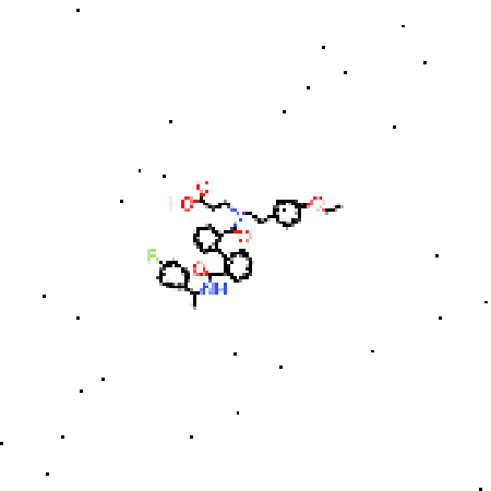 CCOc1ccc(CCN(CCC(=O)O)C(=O)c2ccccc2-c2ccccc2C(=O)NC(C)c2ccc(F)cc2)cc1